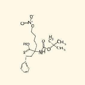 CC(C)(C)OC(=O)NC(CCCCO[N+](=O)[O-])(CCc1ccccc1)C(O)=S